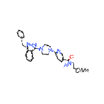 COCCNC(=O)c1ccc(N2CCN(c3nnc(Cc4ccccc4)c4ccccc34)CC2)nc1